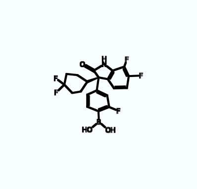 O=C1Nc2c(ccc(F)c2F)[C@@]1(c1ccc(B(O)O)c(F)c1)C1CCC(F)(F)CC1